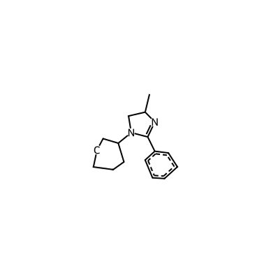 CC1CN(C2CCCCC2)C(c2ccccc2)=N1